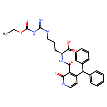 CCOC(=O)NC(=N)NCCC[C@H](NC(=O)c1c(C(c2ccccc2)c2ccccc2)cc[nH]c1=O)C(=O)O